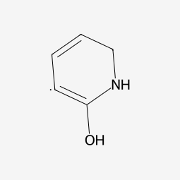 OC1=[C]C=CCN1